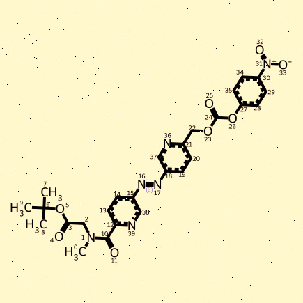 CN(CC(=O)OC(C)(C)C)C(=O)c1ccc(/N=N/c2ccc(COC(=O)Oc3ccc([N+](=O)[O-])cc3)nc2)cn1